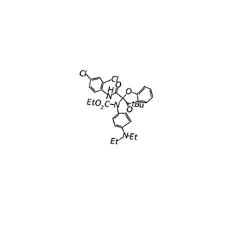 CCOC(=O)N(c1ccc(N(CC)CC)cc1)C(Oc1ccccc1)(C(=O)Nc1ccc(Cl)cc1Cl)C(=O)C(C)(C)C